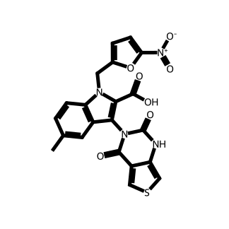 Cc1ccc2c(c1)c(-n1c(=O)[nH]c3cscc3c1=O)c(C(=O)O)n2Cc1ccc([N+](=O)[O-])o1